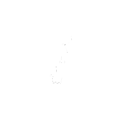 CCOC(=O)CCNCC1NC(Br)=CS1